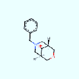 OC1[C@H]2COC[C@H]1CN(Cc1ccccc1)C2